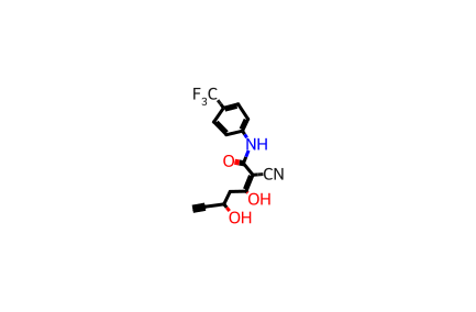 C#CC(O)C/C(O)=C(/C#N)C(=O)Nc1ccc(C(F)(F)F)cc1